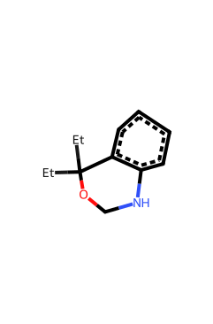 CCC1(CC)OCNc2ccccc21